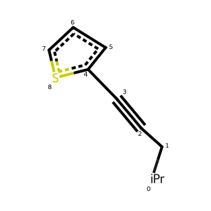 CC(C)CC#Cc1cccs1